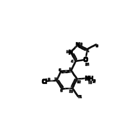 Cc1nnc(-c2cc(Cl)cc(C)c2N)o1